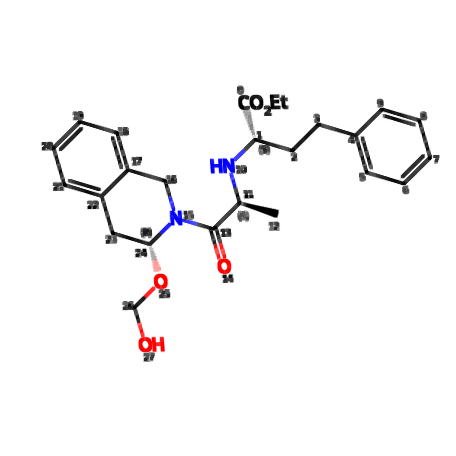 CCOC(=O)[C@H](CCc1ccccc1)N[C@@H](C)C(=O)N1Cc2ccccc2C[C@H]1OCO